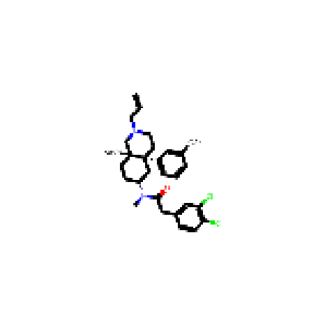 C=CCN1CC[C@@]2(c3cccc(OC(C)=O)c3)C[C@H](N(C)C(=O)Cc3ccc(Cl)c(Cl)c3)CC[C@]2(OC)C1